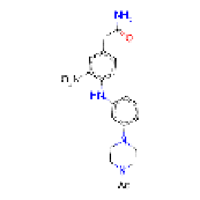 CC(=O)N1CCN(c2cccc(Nc3ccc(CC(N)=O)cc3[N+](=O)[O-])c2)CC1